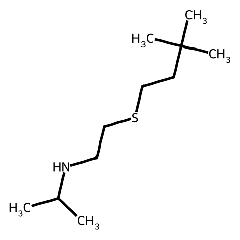 CC(C)NCCSCCC(C)(C)C